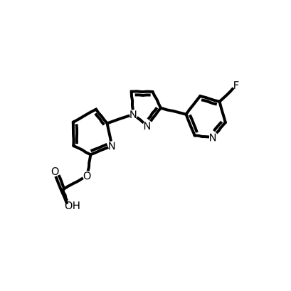 O=C(O)Oc1cccc(-n2ccc(-c3cncc(F)c3)n2)n1